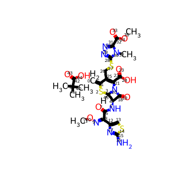 C=C1S[C@@H]2[C@H](NC(=O)/C(=N\OC)c3csc(N)n3)C(=O)N2C(C(=O)O)=C1CSc1nnc(C(=O)OC)n1C.CC(C)(C)C(=O)O